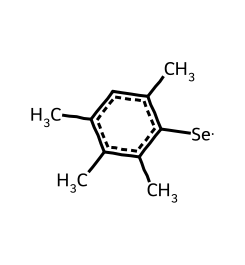 Cc1cc(C)c([Se])c(C)c1C